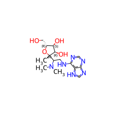 CN(C)C(CNc1ncnc2nc[nH]c12)[C@]1(C)O[C@H](CO)[C@@H](O)[C@H]1O